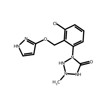 CN1NC(=O)N(c2cccc(Cl)c2COc2cc[nH]n2)N1